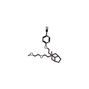 COCCOCCN(C)C1C2CCC1CN(CCOc1ccc(C#N)cc1)C2